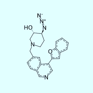 [N-]=[N+]=N[C@H]1CCN(Cc2ccc3cncc(-c4cc5ccccc5o4)c3c2)C[C@@H]1O